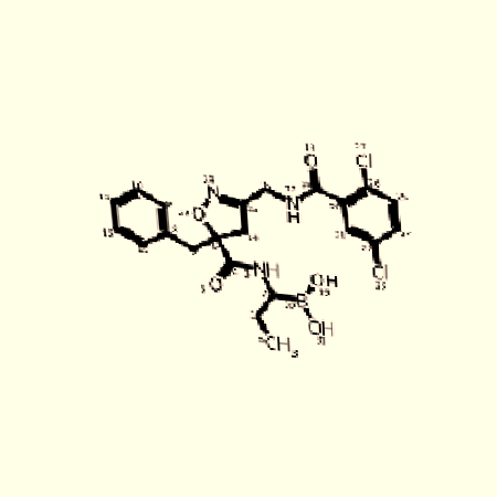 CCC(NC(=O)C1(Cc2ccccc2)CC(CNC(=O)c2cc(Cl)ccc2Cl)=NO1)B(O)O